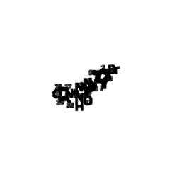 Cc1cc(Br)cc(C)c1-n1cc2c(=O)[nH]c(N3CCOC[C@@H]3C)nc2n1